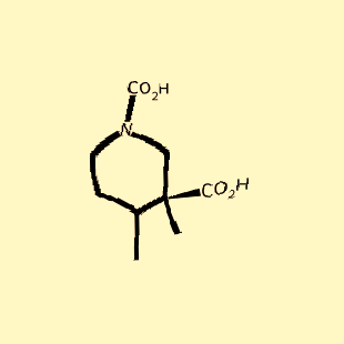 CC1CCN(C(=O)O)C[C@@]1(C)C(=O)O